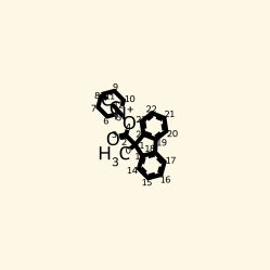 CC1(C(=O)O[N+]23CCC(CC2)CC3)c2ccccc2-c2ccccc21